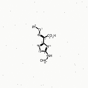 CC(C)ON=C(C(=O)O)c1nsc(NC=O)n1